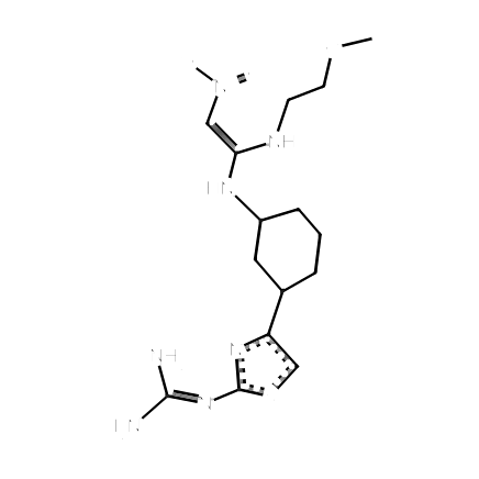 COCCN/C(=C\[N+](=O)[O-])NC1CCCC(c2csc(N=C(N)N)n2)C1